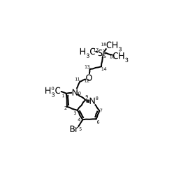 Cc1cc2c(Br)ccnc2n1COCC[Si](C)(C)C